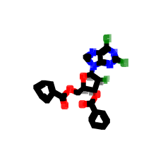 O=C(OC[C@H]1O[C@@H](n2cnc3c(Cl)nc(Cl)nc32)[C@@H](F)[C@@H]1OC(=O)c1ccccc1)c1ccccc1